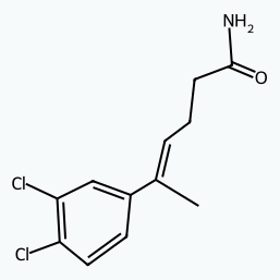 CC(=CCCC(N)=O)c1ccc(Cl)c(Cl)c1